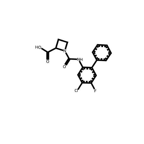 O=C(O)C1CCN1C(=O)Nc1cc(Cl)c(F)cc1-c1ccccc1